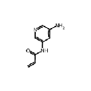 C=CC(=O)Nc1cncc(N)c1